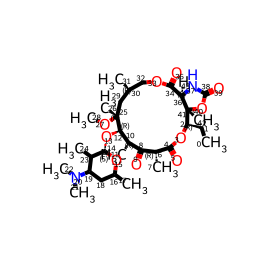 CC[C@H]1OC(=O)[C@H](C)C(=O)[C@H](C)[C@@H](O[C@@H]2OC(C)CC(N(C)C)C2C)[C@](C)(OC)C[C@@H](C)COC(=O)[C@H]2NC(=O)O[C@@]21C